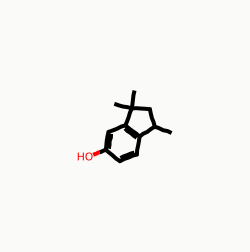 CC1CC(C)(C)c2cc(O)ccc21